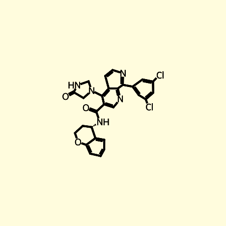 O=C1CN(c2c(C(=O)N[C@H]3CCOc4ccccc43)cnc3c(-c4cc(Cl)cc(Cl)c4)nccc23)CN1